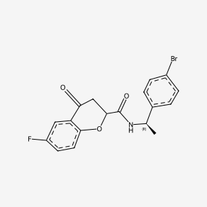 C[C@@H](NC(=O)C1CC(=O)c2cc(F)ccc2O1)c1ccc(Br)cc1